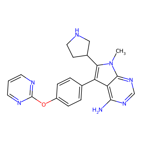 Cn1c(C2CCNC2)c(-c2ccc(Oc3ncccn3)cc2)c2c(N)ncnc21